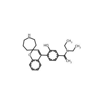 C=C(c1ccc(C2=CC3(CCCNCC3)Oc3ccccc32)c(O)c1)N(CC)CC